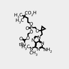 CN(C)c1nc(N)nc2c1ncn2CC1(OCP(=O)(OCCC(C)(C)C(=O)O)OCOC(=O)C(C)(C)C)CC1